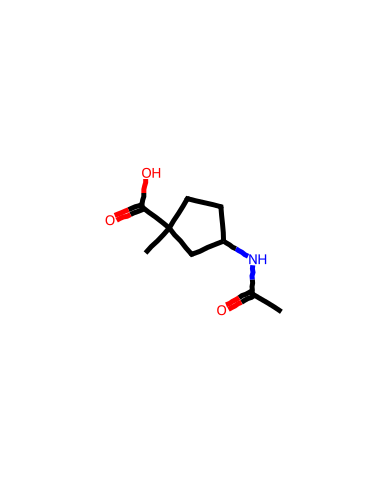 CC(=O)NC1CCC(C)(C(=O)O)C1